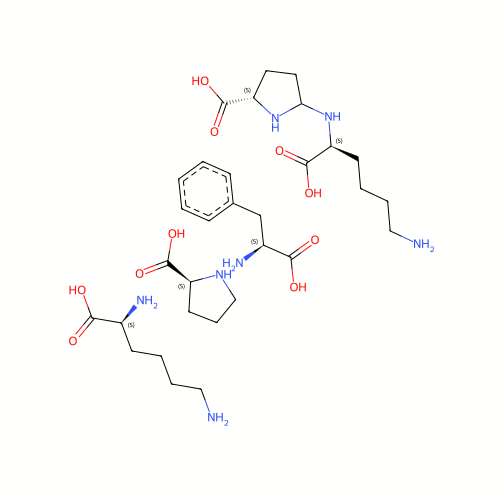 NCCCC[C@H](N)C(=O)O.NCCCC[C@H](NC1CC[C@@H](C(=O)O)N1)C(=O)O.N[C@@H](Cc1ccccc1)C(=O)O.O=C(O)[C@@H]1CCCN1